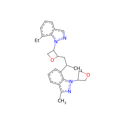 CCc1cccc2cnn(C3COC3CC(C)c3cccc4c(C)nn(C5COC5)c34)c12